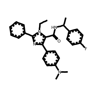 CCn1c(-c2ccccc2)nc(-c2ccc(N(C)C)cc2)c1C(=O)NC(C)c1ccc(F)cc1